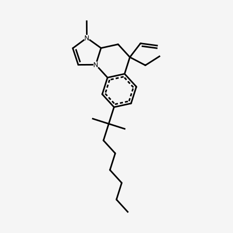 C=CC1(CC)CC2N(C)C=CN2c2cc(C(C)(C)CCCCCC)ccc21